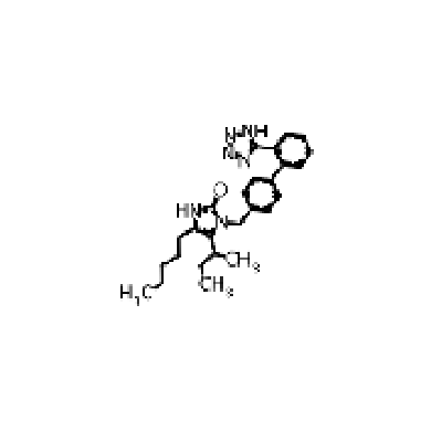 CCCCCc1[nH]c(=O)n(Cc2ccc(-c3ccccc3-c3nnn[nH]3)cc2)c1C(C)CC